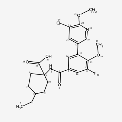 CCC1CCC(NC(=O)c2cc(F)c(OC)c(-c3cnc(OC)c(Cl)c3)c2)(C(=O)O)CC1